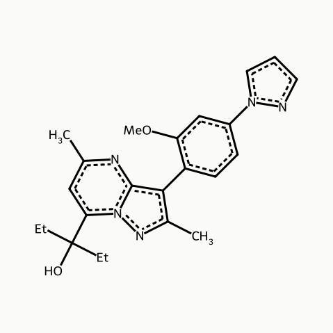 CCC(O)(CC)c1cc(C)nc2c(-c3ccc(-n4cccn4)cc3OC)c(C)nn12